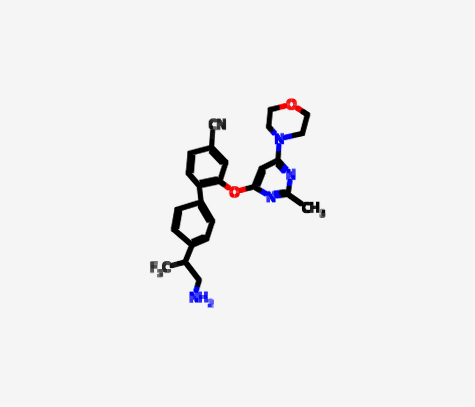 Cc1nc(Oc2cc(C#N)ccc2-c2ccc(C(CN)C(F)(F)F)cc2)cc(N2CCOCC2)n1